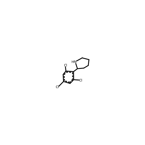 Clc1cc(Cl)c(C2CCC[CH]N2)c(Cl)c1